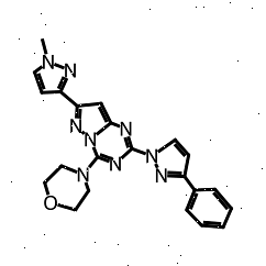 Cn1ccc(-c2cc3nc(-n4ccc(-c5ccccc5)n4)nc(N4CCOCC4)n3n2)n1